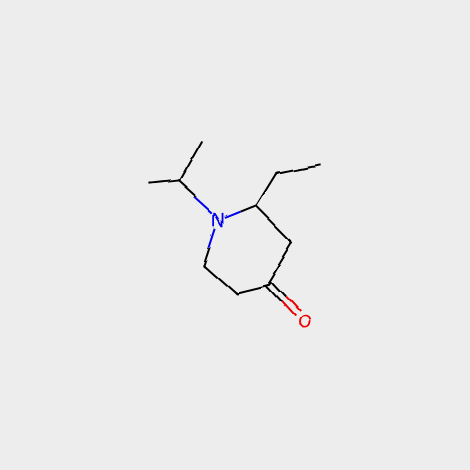 CCC1CC(=O)CCN1C(C)C